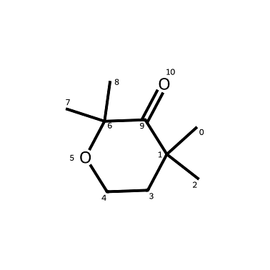 CC1(C)CCOC(C)(C)C1=O